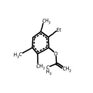 C=C(C)Oc1c(C)c(C)cc(C)c1CC